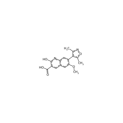 COc1cc2cc(C(=O)O)c(O)nc2cc1-c1c(C)noc1C